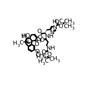 COc1ccc2c3c1O[C@H]1C(OC(=O)[C@H](Cc4cn(C(=O)OC(C)(C)C)cn4)NC(=O)CCNC(=O)OC(C)(C)C)=CC[C@@]4(O)[C@@H](C2)N(C)CC[C@]314